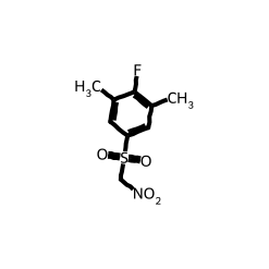 Cc1cc(S(=O)(=O)C[N+](=O)[O-])cc(C)c1F